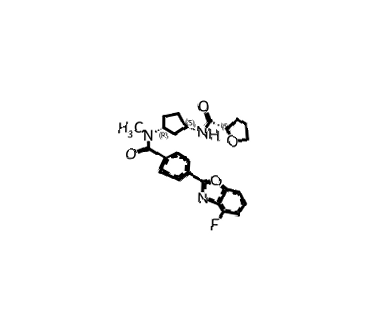 CN(C(=O)c1ccc(-c2nc3c(F)cccc3o2)cc1)[C@@H]1CC[C@H](NC(=O)[C@@H]2CCCO2)C1